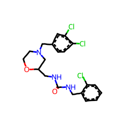 O=C(NCc1ccccc1Cl)NCC1CN(Cc2ccc(Cl)c(Cl)c2)CCO1